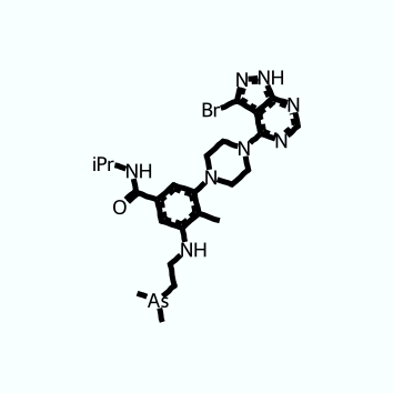 Cc1c(NCC[As](C)C)cc(C(=O)NC(C)C)cc1N1CCN(c2ncnc3[nH]nc(Br)c23)CC1